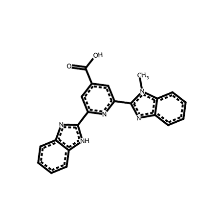 Cn1c(-c2cc(C(=O)O)cc(-c3nc4ccccc4[nH]3)n2)nc2ccccc21